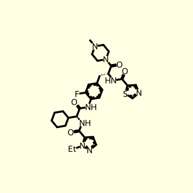 CCn1nccc1C(=O)N[C@H](C(=O)Nc1ccc(C[C@@H](NC(=O)c2cncs2)C(=O)N2CCN(C)CC2)cc1F)C1CCCCC1